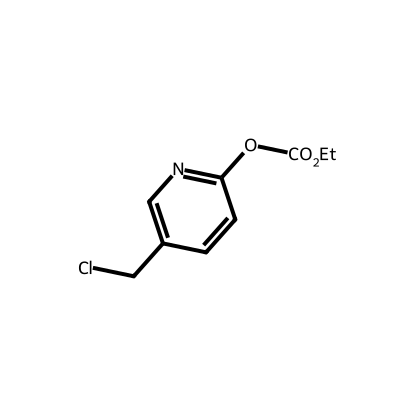 CCOC(=O)Oc1ccc(CCl)cn1